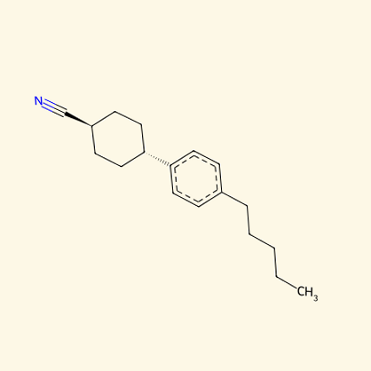 CCCCCc1ccc([C@H]2CC[C@H](C#N)CC2)cc1